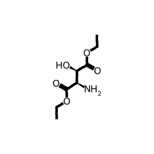 CCOC(=O)[C@H](N)[C@@H](O)C(=O)OCC